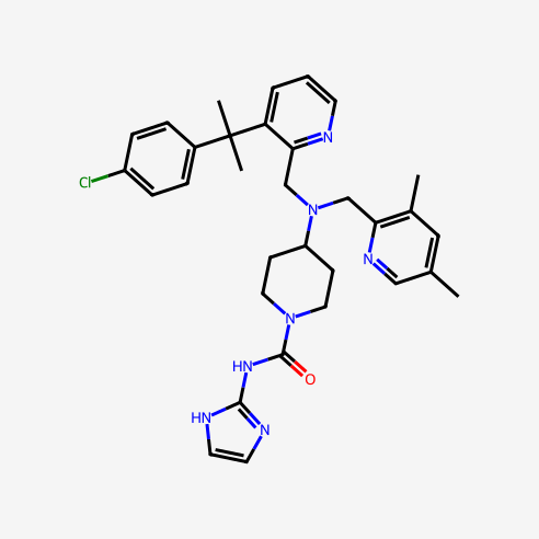 Cc1cnc(CN(Cc2ncccc2C(C)(C)c2ccc(Cl)cc2)C2CCN(C(=O)Nc3ncc[nH]3)CC2)c(C)c1